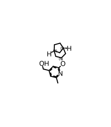 Cc1cc(CO)cc(O[C@@H]2C[C@@H]3CC[C@@H](C3)C2)n1